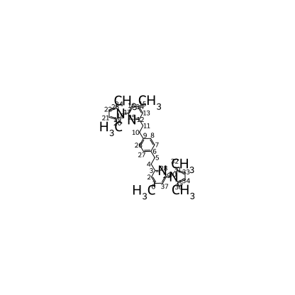 Cc1cc(CCc2ccc(CCc3cc(C)cc(-n4c(C)ccc4C)n3)cc2)nc(-n2c(C)ccc2C)c1